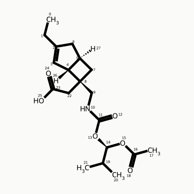 CCC1=C[C@@H]2[C@@H](C1)C[C@]2(CNC(=O)O[C@@H](OC(C)=O)C(C)C)CC(=O)O